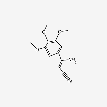 COc1cc(C(N)=CC#N)cc(OC)c1OC